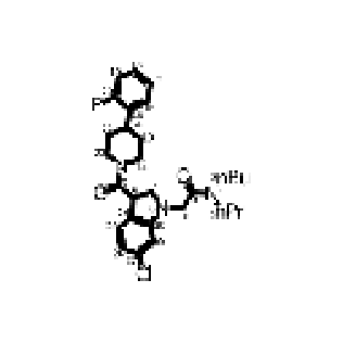 CCCCN(CCC)C(=O)CN1CC(C(=O)N2CCC(c3ccccc3F)CC2)c2ccc(Cl)cc21